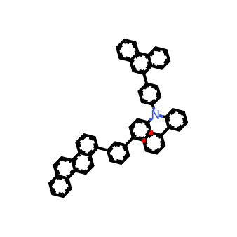 c1ccc(-c2ccccc2N(c2ccc(-c3cccc(-c4cccc5c4ccc4c6ccccc6ccc54)c3)cc2)c2ccc(-c3cc4ccccc4c4ccccc34)cc2)cc1